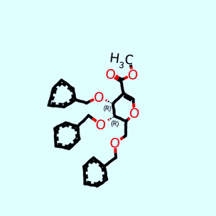 COC(=O)C1=COC(COCc2ccccc2)[C@H](OCc2ccccc2)[C@@H]1OCc1ccccc1